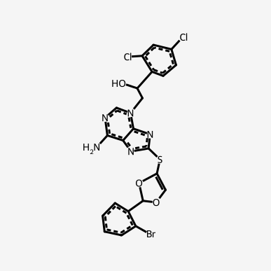 Nc1ncn(CC(O)c2ccc(Cl)cc2Cl)c2nc(SC3=COC(c4ccccc4Br)O3)nc1-2